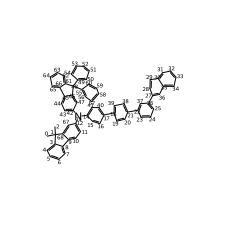 CC1(C)c2ccccc2-c2ccc(N(c3ccc(-c4ccc(-c5cccc(-c6ccc7ccccc7c6)c5)cc4)cc3)c3ccc4c(c3)C(c3ccccc3)(c3ccccc3)c3ccccc3-4)cc21